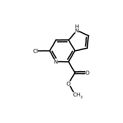 COC(=O)c1nc(Cl)cc2[nH]ccc12